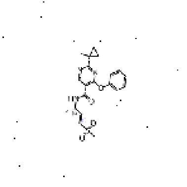 C[C@@H](/C=C/S(C)(=O)=O)NC(=O)c1cnc(C2(C)CC2)nc1Oc1ccccc1